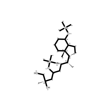 C[C@H](CCC(C[C@@](C)(O)CO)O[Si](C)(C)C(C)(C)C)[C@H]1CCC2C(O[Si](C)(C)C)CCC[C@]21C